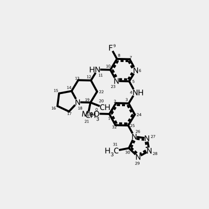 COc1cc(Nc2ncc(F)c(NC3CC4CCCN4C(C)(C)C3)n2)cc(-n2nnnc2C)c1